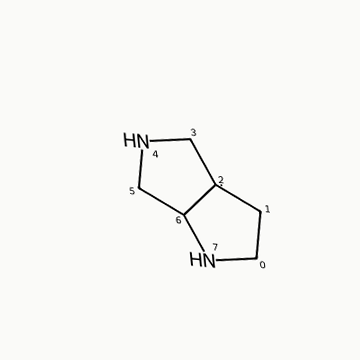 C1C[C]2CNCC2N1